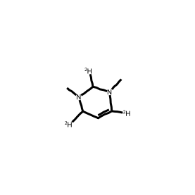 [2H]C1=CC([2H])N(C)C([2H])N1C